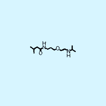 CC(C)CC(=O)NCCCOCCNC(C)C